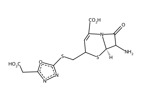 NC1C(=O)N2C(C(=O)O)=CC(CSc3nnc(CC(=O)O)o3)S[C@H]12